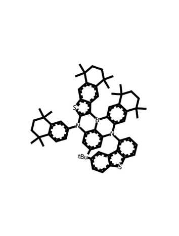 Cc1cc2c3c(c1)N(c1cccc4sc5ccc(C(C)(C)C)cc5c14)c1cc4c(cc1B3c1c(sc3cc5c(cc13)C(C)(C)CCC5(C)C)N2c1ccc2c(c1)C(C)(C)CCC2(C)C)C(C)(C)CCC4(C)C